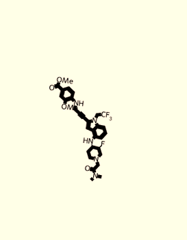 COC(=O)c1ccc(NCC#Cc2cc3c(N[C@H]4CCN(CC(=O)N(C)C)C[C@H]4F)cccc3n2CC(F)(F)F)c(OC)c1